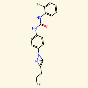 CC(C)CCc1c2n(-c3ccc(NC(=O)Nc4ccccc4F)cc3)n1-2